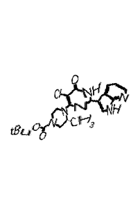 C[C@@H]1CN(C(=O)OC(C)(C)C)CCN1c1nc(-c2c[nH]c3ncccc23)[nH]c(=O)c1Cl